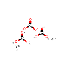 O=[Si]([O-])[O-].O=[Si]([O-])[O-].O=[Si]([O-])[O-].[Fe+3].[Y+3]